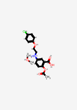 CC(=O)Oc1ccc(NCCOc2ccc(Cl)cc2)cc1C(=O)O.COC